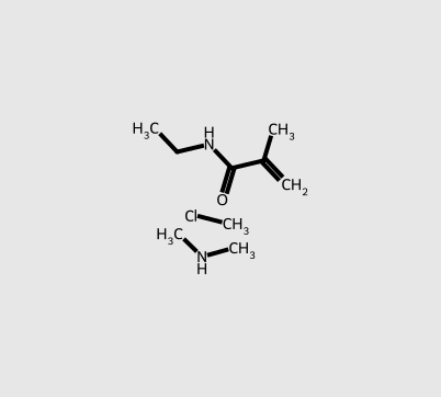 C=C(C)C(=O)NCC.CCl.CNC